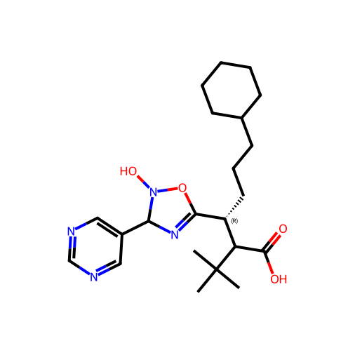 CC(C)(C)C(C(=O)O)[C@@H](CCCC1CCCCC1)C1=NC(c2cncnc2)N(O)O1